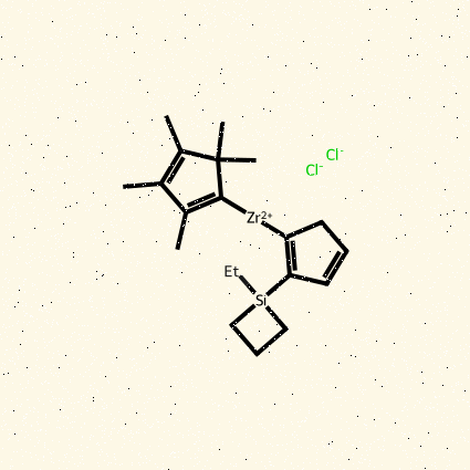 CC[Si]1(C2=[C]([Zr+2][C]3=C(C)C(C)=C(C)C3(C)C)CC=C2)CCC1.[Cl-].[Cl-]